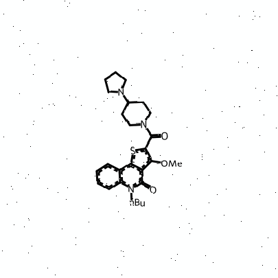 CCCCn1c(=O)c2c(OC)c(C(=O)N3CCC(N4CCCC4)CC3)sc2c2ccccc21